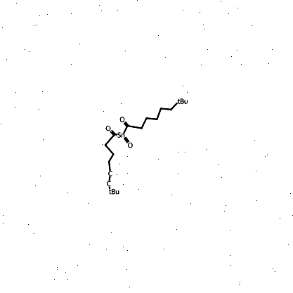 CC(C)(C)CCCCC[C](=O)[Sn](=[O])[C](=O)CCCCCC(C)(C)C